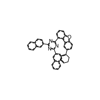 C1=CCCC(c2ccc3oc4cccc(-c5nc(-c6ccc7ccccc7c6)nc(-c6ccc7ccccc7c6)n5)c4c3c2)=C1